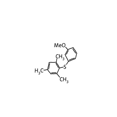 COc1cccc(Sc2c(C)cc(C)cc2C)c1